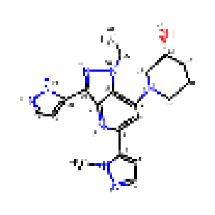 Cn1nccc1-c1cc(N2CCC[C@@H](O)C2)c2c(n1)c(-c1ccn[nH]1)nn2CC(F)(F)F